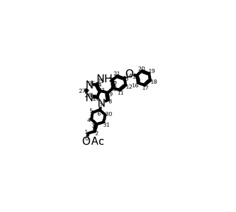 CC(=O)OCC=C1CCC(n2cc(-c3ccc(Oc4ccccc4)cc3)c3c(N)ncnc32)CC1